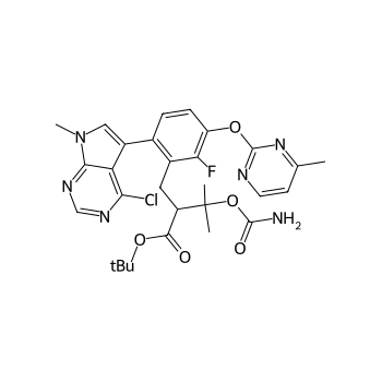 Cc1ccnc(Oc2ccc(-c3cn(C)c4ncnc(Cl)c34)c(CC(C(=O)OC(C)(C)C)C(C)(C)OC(N)=O)c2F)n1